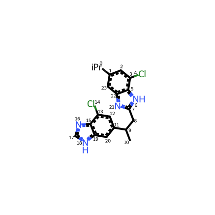 CC(C)c1cc(Cl)c2[nH]c(CC(C)c3cc(Cl)c4nc[nH]c4c3)nc2c1